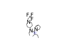 CC/C(C)=C(\N1C=CCC1)N(CC)C1CCN(CC(F)(F)F)CC1